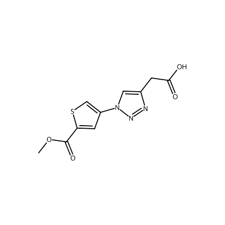 COC(=O)c1cc(-n2cc(CC(=O)O)nn2)cs1